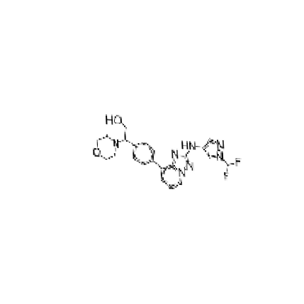 OCC(c1ccc(-c2cccn3nc(Nc4cnn(C(F)F)c4)nc23)cc1)N1CCOCC1